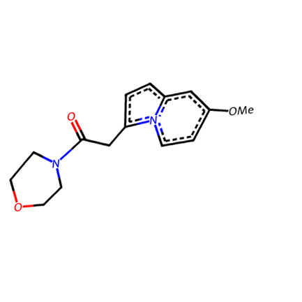 COc1ccn2c(CC(=O)N3CCOCC3)ccc2c1